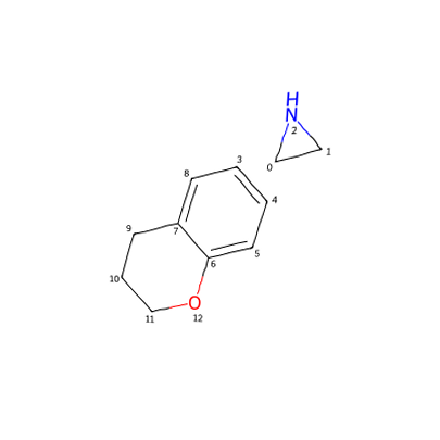 C1CN1.c1ccc2c(c1)CCCO2